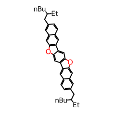 CCCCC(CC)Cc1ccc2cc3c(cc2c1)oc1cc2c(cc13)oc1cc3cc(CC(CC)CCCC)ccc3cc12